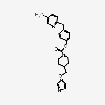 Cc1ccc(Cc2ccc(OC(=O)N3CCC(COn4ccnc4)CC3)cc2)nc1